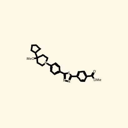 COC(=O)c1ccc(-c2nnc(-c3ccc(N4CCC(OC)(C5CCCC5)CC4)cc3)s2)cc1